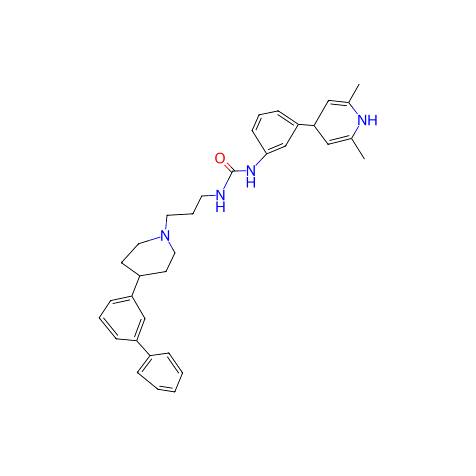 CC1=CC(c2cccc(NC(=O)NCCCN3CCC(c4cccc(-c5ccccc5)c4)CC3)c2)C=C(C)N1